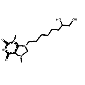 CN1CN(CCCCCCC(O)CO)c2c1c(=O)[nH]c(=O)n2C